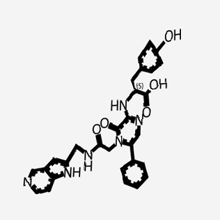 O=C(Cn1c(-c2ccccc2)cnc(N[C@@H](Cc2ccc(O)cc2)C(=O)O)c1=O)NCc1cc2cnccc2[nH]1